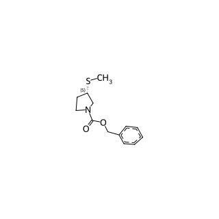 CS[C@H]1CCN(C(=O)OCc2ccccc2)C1